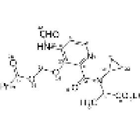 CCOC(=O)C(C)N(C(=O)c1nccc(NC=O)c1OCOC(=O)C(C)C)C1CC1